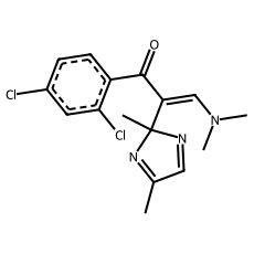 CC1=NC(C)(C(=CN(C)C)C(=O)c2ccc(Cl)cc2Cl)N=C1